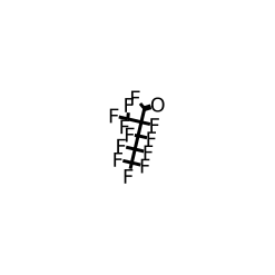 O=C(F)C(F)(C(F)(F)F)C(F)(F)C(F)(F)C(F)(F)F